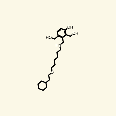 OCc1ccc(O)c(CO)c1CNCCCCCCOCCC1CCCCC1